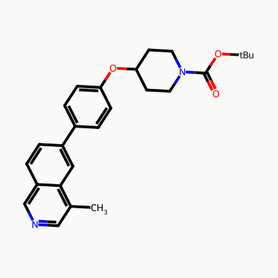 Cc1cncc2ccc(-c3ccc(OC4CCN(C(=O)OC(C)(C)C)CC4)cc3)cc12